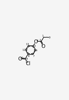 CCC(=O)Oc1ccc(C(=O)Cl)cc1